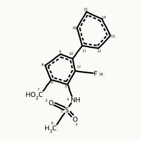 CS(=O)(=O)Nc1c(C(=O)O)ccc(-c2ccccc2)c1F